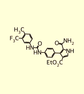 CCOC(=O)c1c[nH]c(C(N)=O)c1-c1ccc(NC(=O)Nc2ccc(C)c(C(F)(F)F)c2)cc1